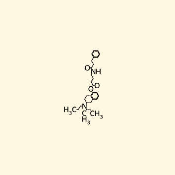 CCCN([C@H]1CCc2c(cccc2OC(=O)CCCNC(=O)CCc2ccccc2)C1)[C@H](C)CC